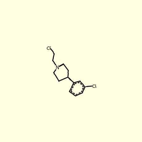 ClCCN1CCC(c2cccc(Cl)c2)CC1